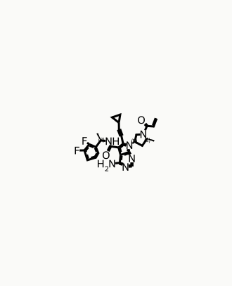 C=CC(=O)N1C[C@H](n2c(C#CC3CC3)c(C(=O)N[C@H](C)c3cccc(F)c3F)c3c(N)ncnc32)C[C@@H]1C